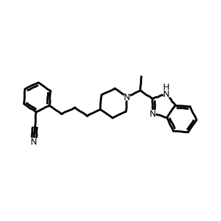 CC(c1nc2ccccc2[nH]1)N1CCC(CCCc2ccccc2C#N)CC1